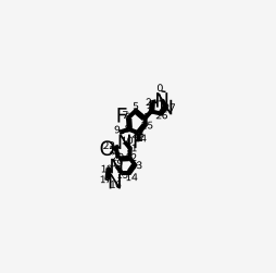 Cn1cc(-c2cc(F)c(CN3Cc4ccc5nccn5c4C3=O)c(F)c2)cn1